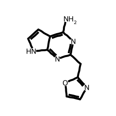 Nc1nc(Cc2ncco2)nc2[nH]ccc12